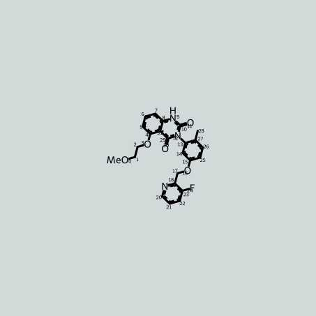 COCCOc1cccc2[nH]c(=O)n(-c3cc(OCc4ncccc4F)ccc3C)c(=O)c12